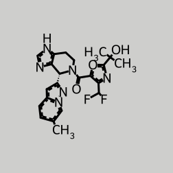 Cc1ccc2cc([C@@H]3c4nc[nH]c4CCN3C(=O)c3oc(C(C)(C)O)nc3C(F)F)nn2c1